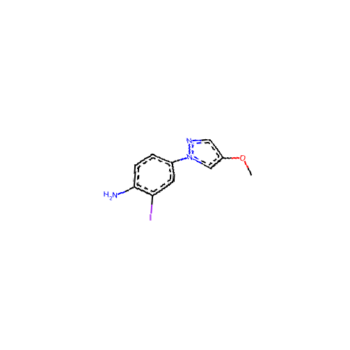 COc1cnn(-c2ccc(N)c(I)c2)c1